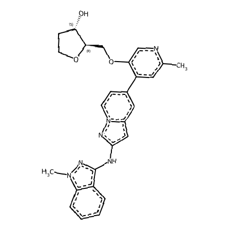 Cc1cc(-c2ccn3nc(Nc4nn(C)c5ccccc45)cc3c2)c(OC[C@H]2OCC[C@@H]2O)cn1